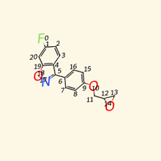 Fc1ccc2c(-c3ccc(OCC4CO4)cc3)noc2c1